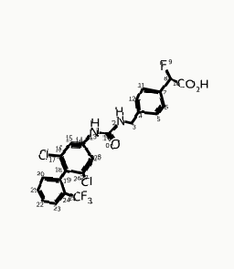 O=C(NCc1ccc(C(F)C(=O)O)cc1)Nc1cc(Cl)c(-c2ccccc2C(F)(F)F)c(Cl)c1